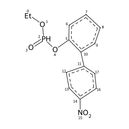 CCO[PH](=O)Oc1ccccc1-c1ccc([N+](=O)[O-])cc1